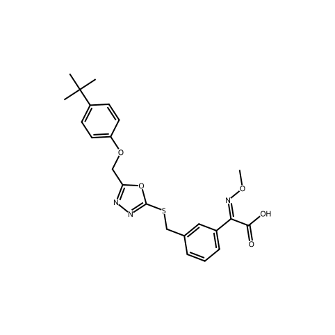 CON=C(C(=O)O)c1cccc(CSc2nnc(COc3ccc(C(C)(C)C)cc3)o2)c1